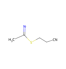 CC(=[N])SCCC#N